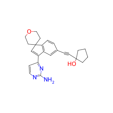 Nc1nccc(C2=CC3(CCOCC3)c3ccc(C#CC4(O)CCCC4)cc32)n1